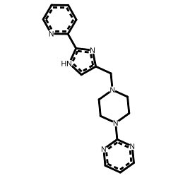 c1ccc(-c2nc(CN3CCN(c4ncccn4)CC3)c[nH]2)nc1